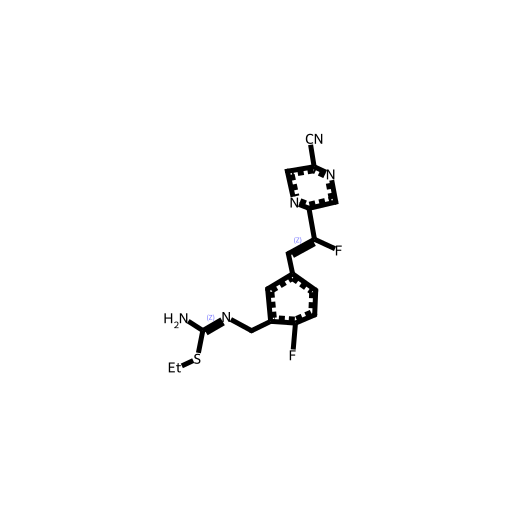 CCS/C(N)=N\Cc1cc(/C=C(\F)c2cnc(C#N)cn2)ccc1F